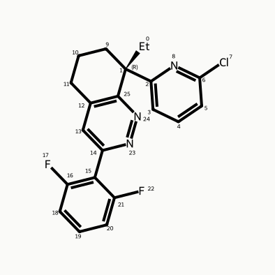 CC[C@]1(c2cccc(Cl)n2)CCCc2cc(-c3c(F)cccc3F)nnc21